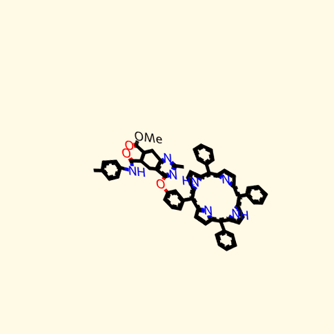 COC(=O)C1Cc2nc(C)nc(Oc3cccc(-c4c5nc(c(-c6ccccc6)c6ccc([nH]6)c(-c6ccccc6)c6nc(c(-c7ccccc7)c7ccc4[nH]7)C=C6)C=C5)c3)c2CC1C(=O)Nc1ccc(C)cc1